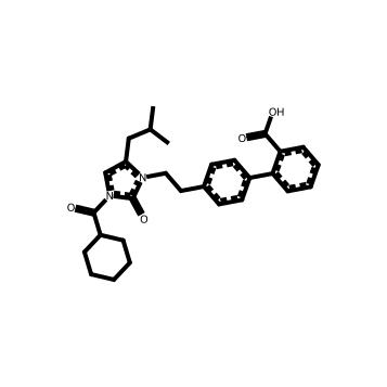 CC(C)Cc1cn(C(=O)C2CCCCC2)c(=O)n1CCc1ccc(-c2ccccc2C(=O)O)cc1